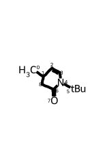 CC1C=CN(C(C)(C)C)C(=O)C1